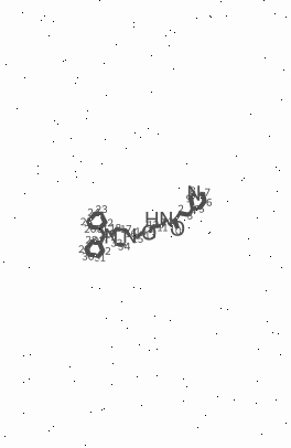 O=C(C=Cc1cccnc1)NCCOCCN1CCN(C(c2ccccc2)c2ccccc2)CC1